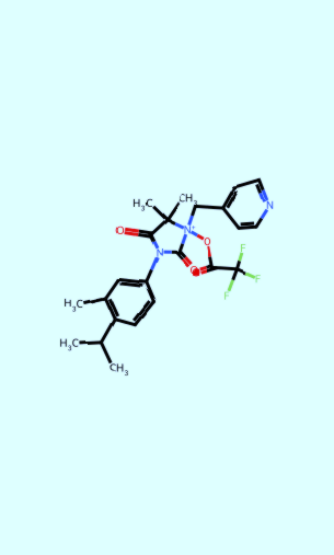 Cc1cc(N2C(=O)C(C)(C)[N+](Cc3ccncc3)(OC(=O)C(F)(F)F)C2=O)ccc1C(C)C